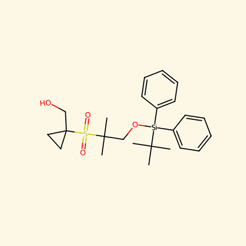 CC(C)(C)[Si](OCC(C)(C)S(=O)(=O)C1(CO)CC1)(c1ccccc1)c1ccccc1